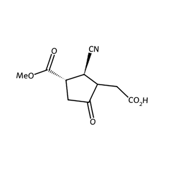 COC(=O)[C@H]1CC(=O)C(CC(=O)O)[C@@H]1C#N